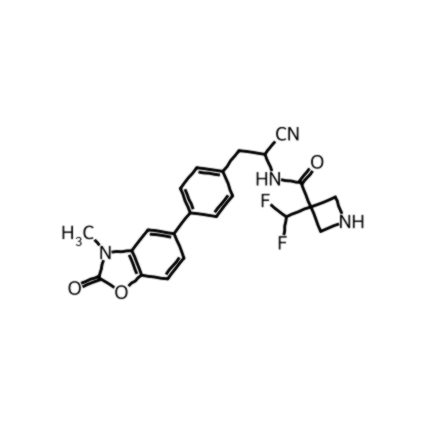 Cn1c(=O)oc2ccc(-c3ccc(CC(C#N)NC(=O)C4(C(F)F)CNC4)cc3)cc21